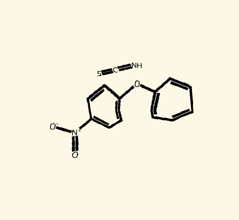 N=C=S.O=[N+]([O-])c1ccc(Oc2ccccc2)cc1